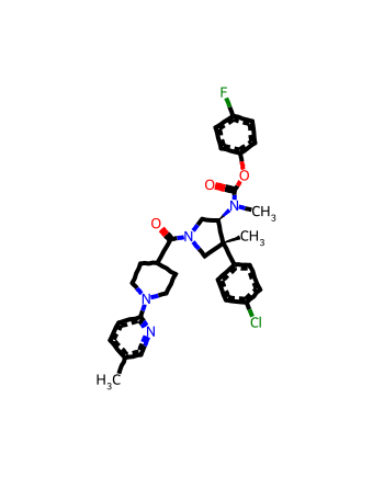 Cc1ccc(N2CCC(C(=O)N3C[C@@H](N(C)C(=O)Oc4ccc(F)cc4)[C@](C)(c4ccc(Cl)cc4)C3)CC2)nc1